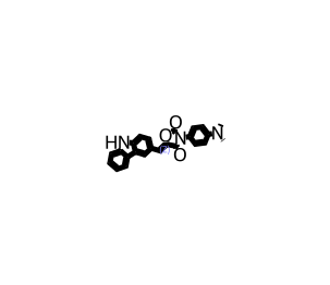 CN(C)c1ccc(N2C(=O)O/C(=C\c3ccc4[nH]c5ccccc5c4c3)C2=O)cc1